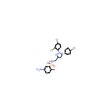 Cc1ccc(N)cc1S(=O)(=O)NCC1=NN(c2ccc(Cl)cc2Cl)[C@H](c2ccc(Cl)cc2)C1